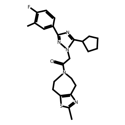 Cc1nc2c(s1)CCN(C(=O)Cn1nc(-c3ccc(F)c(C)c3)nc1C1CCCC1)CC2